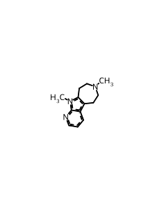 CN1CCc2c(n(C)c3ncccc23)CC1